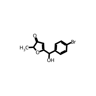 CC1OC(C(O)c2ccc(Br)cc2)=CC1=O